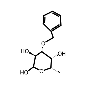 C[C@@H]1OC(O)[C@@H](O)[C@H](OCc2ccccc2)[C@@H]1O